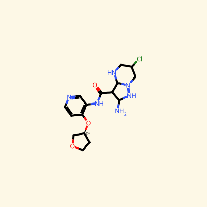 NC1NN2CC(Cl)CNC2C1C(=O)Nc1cnccc1O[C@H]1CCOC1